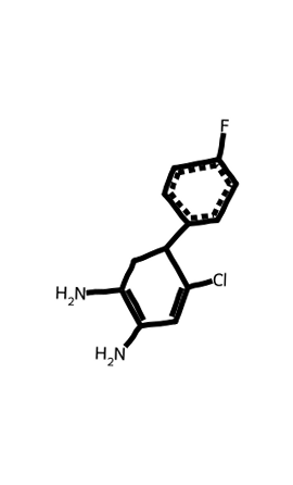 NC1=C(N)CC(c2ccc(F)cc2)C(Cl)=C1